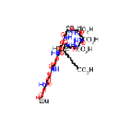 CC(C)(C)C(=O)COCCOCCNC(=O)COCCOCCNC(=O)COCCOCCNC(=O)COCCOCCNC(=O)CC[C@H](NC(=O)CC[C@H](NC(=O)CC[C@H](NC(=O)CC[C@H](NC(=O)CC[C@H](NC(=O)CCCCCCCCCCCCCCCCC(=O)O)C(=O)O)C(=O)O)C(=O)O)C(=O)O)C(=O)O